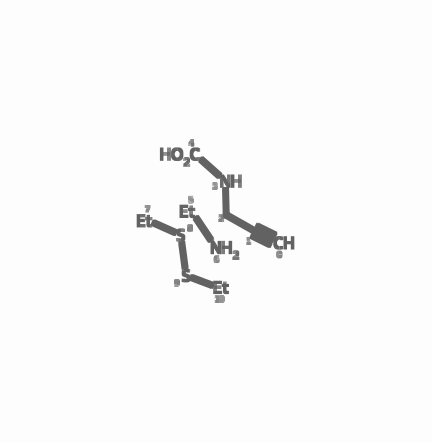 C#CCNC(=O)O.CCN.CCSSCC